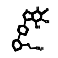 N#Cc1c(O)c2c(-c3ccc(-c4ccccc4OCC(=O)O)cc3)csc2[nH]c1=O